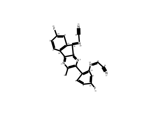 Cc1nc2c(nc1-c1ccc(F)cc1/N=C\C#N)/C(=N/C#N)c1cc(F)ccc1-2